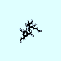 CCCCc1c(C(=O)Nc2c(CC)cc(CCC)cc2CC)c(=O)c(C)c(C)n1C